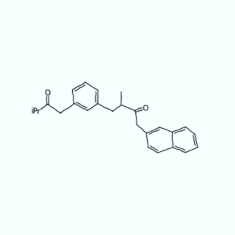 CC(C)C(=O)Cc1cccc(CC(C)C(=O)Cc2ccc3ccccc3c2)c1